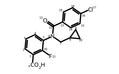 O=C(O)c1cccc(N(CC2CC2)C(=O)c2ccc(Cl)cc2)c1F